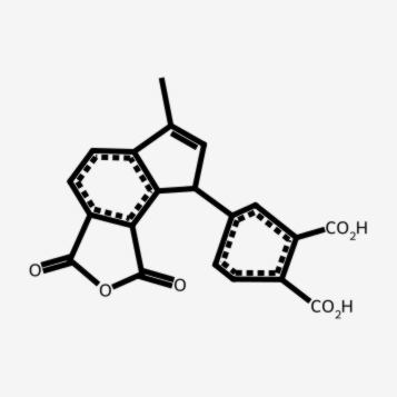 CC1=CC(c2ccc(C(=O)O)c(C(=O)O)c2)c2c1ccc1c2C(=O)OC1=O